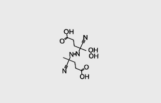 CC(C#N)(CCC(=O)O)/N=N/C(C)(C#N)CCC(=O)O.OO